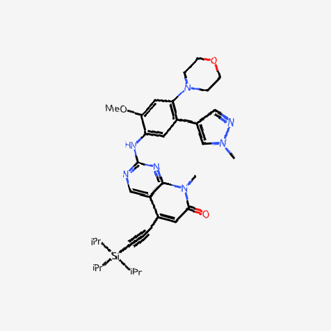 COc1cc(N2CCOCC2)c(-c2cnn(C)c2)cc1Nc1ncc2c(C#C[Si](C(C)C)(C(C)C)C(C)C)cc(=O)n(C)c2n1